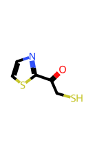 O=C(CS)c1nccs1